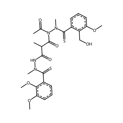 COc1cccc(C(=S)N(C)N(C(C)=O)C(=O)C(C)C(=O)NN(C)C(=S)c2cccc(OC)c2OC)c1CO